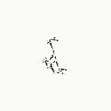 CCC(OC(=O)CCC(=O)O)C(=O)NCCCN(CCCN(CCCNC(=O)CCCCO[C@@H]1OC(COC(C)=O)[C@H](OC(C)=O)[C@H](C)C1NC(C)=O)C(=O)CCCCO[C@@H]1OC(COC(C)=O)[C@H](OC(C)=O)[C@H](C)C1NC(C)=O)C(=O)CCCCO[C@@H]1OC(COC(C)=O)[C@H](OC(C)=O)[C@H](C)C1NC(C)=O